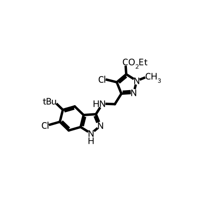 CCOC(=O)c1c(Cl)c(CNc2n[nH]c3cc(Cl)c(C(C)(C)C)cc23)nn1C